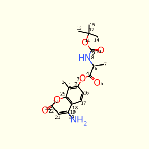 Cc1c(OC(=O)[C@H](C)NC(=O)OC(C)(C)C)ccc2c(N)cc(=O)oc12